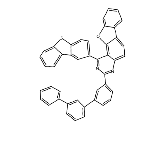 c1ccc(-c2cccc(-c3cccc(-c4nc(-c5ccc6sc7ccccc7c6c5)c5c(ccc6c7ccccc7oc65)n4)c3)c2)cc1